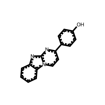 Oc1ccc(-c2ccn3c(n2)nc2ccccc23)cc1